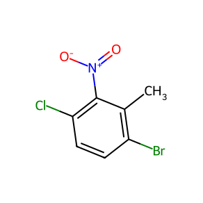 Cc1c(Br)ccc(Cl)c1[N+](=O)[O-]